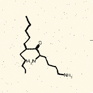 CCCCCC(CCCC)C(=O)C(N)CCCCN